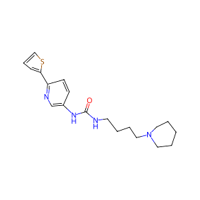 O=C(NCCCCN1CCCCC1)Nc1ccc(-c2cccs2)nc1